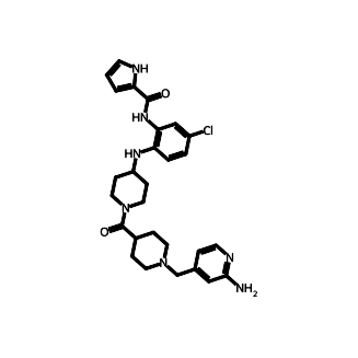 Nc1cc(CN2CCC(C(=O)N3CCC(Nc4ccc(Cl)cc4NC(=O)c4ccc[nH]4)CC3)CC2)ccn1